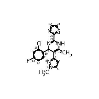 CC1=C(c2ccn(C)n2)C(c2ccc(F)cc2Cl)N=C(c2nccs2)N1